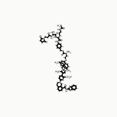 Cc1c(-c2ccc(N3CCc4cccc(C(=O)Nc5nc6ccccc6s5)c4C3)nc2C(=O)O)cnn1CC12CC3(C)CCC1C(OCCN(C)C(=O)OCc1ccc(NC(=O)[C@H](CCCNC(N)=O)NC(=O)[C@@H](NC(=O)CCN4C(=O)C=CC4=O)C(C)C)cc1)CC(C)(C3)C2